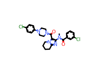 CN(C(=O)c1cccc(Cl)c1)c1nc2n(c1C(=O)N1CCN(c3ccc(Cl)cc3)CC1)CCCC2